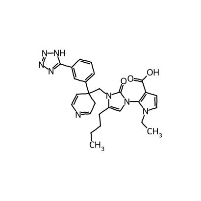 CCCCc1cn(-c2c(C(=O)O)ccn2CC)c(=O)n1CC1(c2cccc(-c3nnn[nH]3)c2)C=CN=CC1